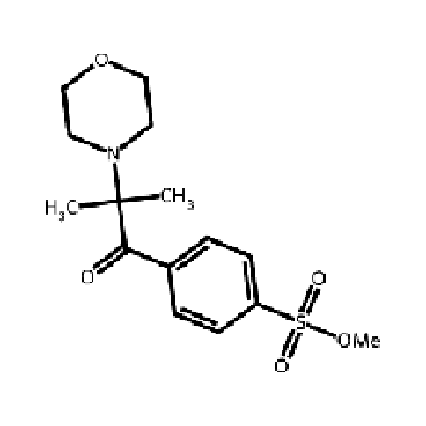 COS(=O)(=O)c1ccc(C(=O)C(C)(C)N2CCOCC2)cc1